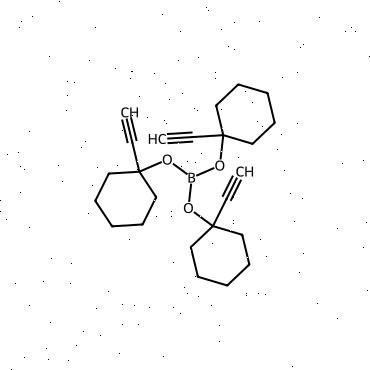 C#CC1(OB(OC2(C#C)CCCCC2)OC2(C#C)CCCCC2)CCCCC1